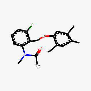 CCC(=O)N(C)c1cccc(F)c1COc1cc(C)c(C)cc1C